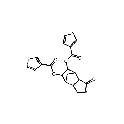 O=C(OC1C2CC(C1OC(=O)c1ccsc1)C1C(=O)CCC21)c1ccsc1